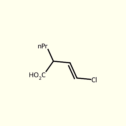 CCCC(C=CCl)C(=O)O